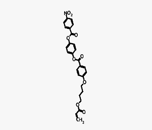 C=CC(=O)OCCCCOc1ccc(C(=O)Oc2ccc(OC(=O)c3ccc([N+](=O)[O-])cc3)cc2)cc1